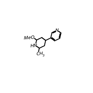 COC1CC(c2cccnc2)CC(C)N1